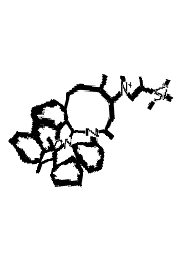 C=C/C(=C(\C)N1c2ccccc2N2C(=C)CC([N+](=C)/C=C(\C)[Si](C)(C)C)C(C)CCc3ccc4c(oc5ccccc54)c3C21)c1ccccc1